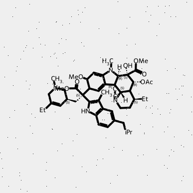 CCC1=C[C@H](C[C@@](C(=O)OC)(c2[nH]c3ccc(CC(C)C)cc3c2C)C2C=C3C(=CC2OC)N(C)[C@H]2[C@@](O)(C(=O)OC)[C@H](OC(C)=O)C4[C@@H](CC)CCN5CC[C@]32[C@H]45)CN(C)C1